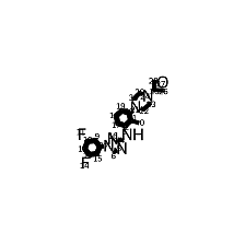 Cc1c(Nc2ncn(-c3cc(F)cc(F)c3)n2)cccc1N1CCN(C2COC2)CC1